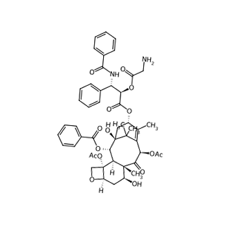 CC(=O)O[C@H]1C(=O)[C@@]2(C)[C@H]([C@H](OC(=O)c3ccccc3)[C@]3(O)C[C@H](OC(=O)[C@H](OC(=O)CN)[C@@H](NC(=O)c4ccccc4)c4ccccc4)C(C)=C1C3(C)C)[C@]1(OC(C)=O)CO[C@@H]1C[C@@H]2O